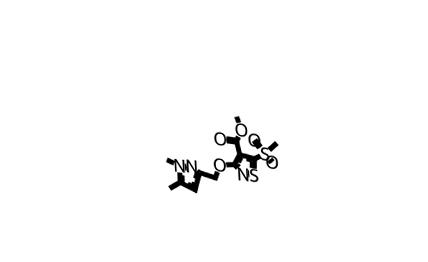 COC(=O)c1c(OCc2cc(C)n(C)n2)nsc1S(C)(=O)=O